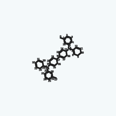 Cc1cccc(N(C2=CCCC=C2)C2C=CC(C3C=CC(N(c4cccc(C)c4)C4C=CC=CC4)=CC3)=CC2)c1